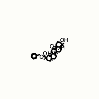 CC1(C)C(O)=CC[C@]2(C)[C@H]3C(=O)C=C4[C@@H]5C[C@@](C)(C(=O)OCc6ccccc6)CC[C@]5(C)CC[C@@]4(C)[C@]3(C)CC[C@@H]12